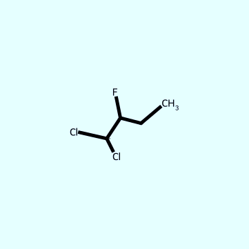 CCC(F)[C](Cl)Cl